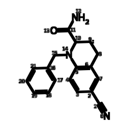 N#Cc1ccc2c(c1)C[C]C(C(N)=O)N2Cc1ccccc1